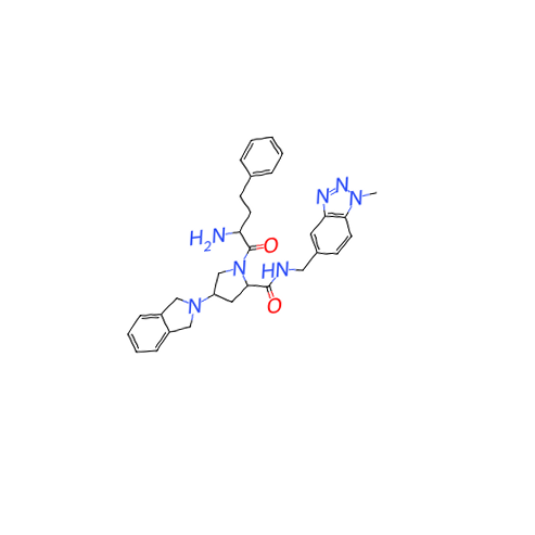 Cn1nnc2cc(CNC(=O)C3CC(N4Cc5ccccc5C4)CN3C(=O)C(N)CCc3ccccc3)ccc21